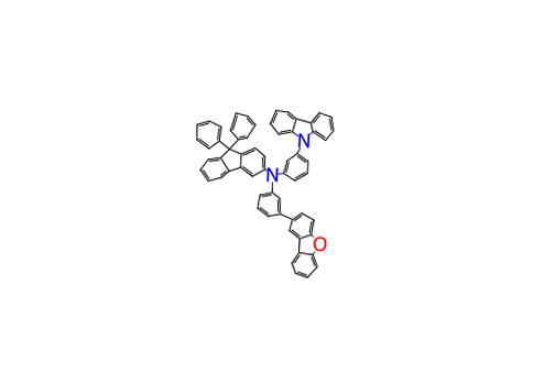 c1ccc(C2(c3ccccc3)c3ccccc3-c3cc(N(c4cccc(-c5ccc6oc7ccccc7c6c5)c4)c4cccc(-n5c6ccccc6c6ccccc65)c4)ccc32)cc1